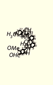 COCc1cc(C(=O)Nc2cccc(-c3cccc(NC(=O)c4nc5c(n4C)CCN(C)C5)c3Cl)c2C)ncc1C=O